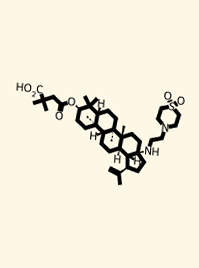 C=C(C)[C@@H]1CC[C@]2(NCCN3CCS(=O)(=O)CC3)CC[C@]3(C)[C@H](CC[C@@H]4[C@@]5(C)CC[C@H](OC(=O)CC(C)(C)C(=O)O)C(C)(C)[C@@H]5CC[C@]43C)[C@@H]12